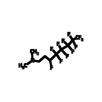 CN(C)CCC(F)C(F)(F)C(F)(F)C(F)(F)C(F)(F)C(F)(F)F